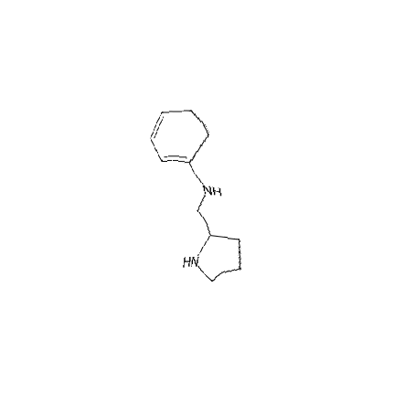 C1=CCCC(NCC2CCCN2)=C1